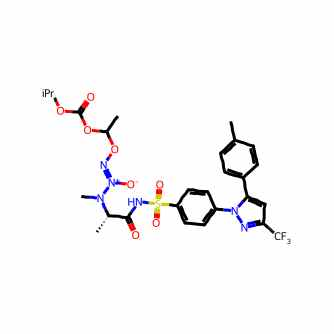 Cc1ccc(-c2cc(C(F)(F)F)nn2-c2ccc(S(=O)(=O)NC(=O)[C@H](C)N(C)/[N+]([O-])=N/OC(C)OC(=O)OC(C)C)cc2)cc1